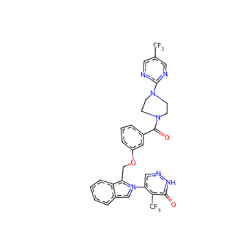 O=C(c1cccc(OCc2c3ccccc3cn2-c2cn[nH]c(=O)c2C(F)(F)F)c1)N1CCN(c2ncc(C(F)(F)F)cn2)CC1